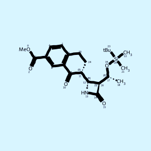 COC(=O)c1ccc2c(c1)C(=O)[C@@H]([C@H]1NC(=O)[C@@H]1[C@@H](C)O[Si](C)(C)C(C)(C)C)CC2